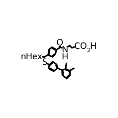 CCCCCCC(Sc1ccc(-c2cccc(C)c2C)cc1)c1ccc(C(=O)NCCC(=O)O)cc1